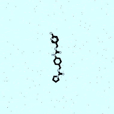 O=C(NC1CCC(COC(=O)N2CCCC2)CC1)OCc1ccc(Cl)nc1